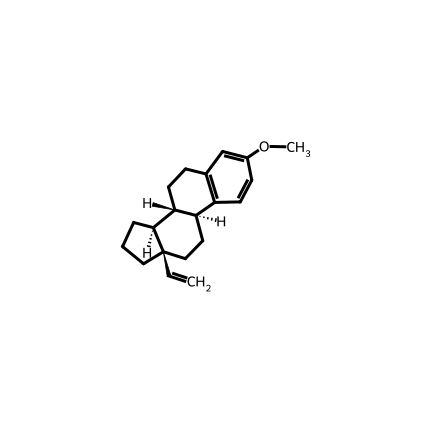 C=C[C@@]12CCC[C@H]1[C@@H]1CCc3cc(OC)ccc3[C@H]1CC2